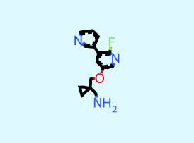 NCC1(COc2cnc(F)c(-c3cccnc3)c2)CC1